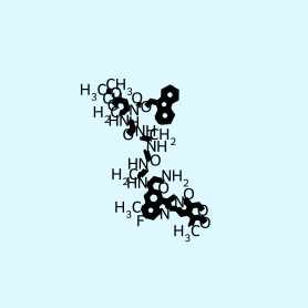 C=C(CNC(=O)CNC(=C)C(CC(=O)OC(C)(C)C)NC(=O)OCC1c2c#cccc2-c2ccccc21)NCC(=O)NCC(=C)NC(CC(N)=O)C1Cc2c(C)c(F)cc3nc4c(c(c23)C1)Cn1c-4cc2c(c1=O)COC(=O)C2CC